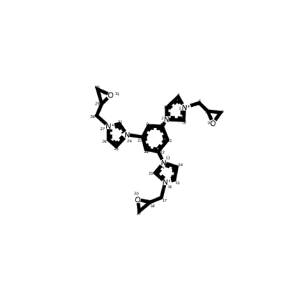 c1c(-n2cc[n+](CC3CO3)c2)cc(-n2cc[n+](CC3CO3)c2)cc1-n1cc[n+](CC2CO2)c1